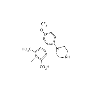 Cc1c(C(=O)O)cccc1C(=O)O.FC(F)(F)Oc1ccc(N2CCNCC2)cc1